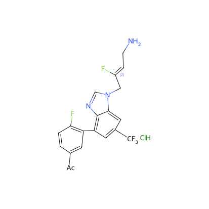 CC(=O)c1ccc(F)c(-c2cc(C(F)(F)F)cc3c2ncn3C/C(F)=C/CN)c1.Cl